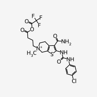 C[N+]1(CCCC(=O)OC(=O)C(F)(F)F)CCc2c(sc(NC(=O)Nc3ccc(Cl)cc3)c2C(N)=O)C1